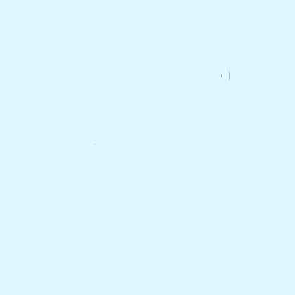 Clc1ccc2c(c1)C1(c3cc(Cl)ccc3-2)C2CC3CC(C2)CC1C3